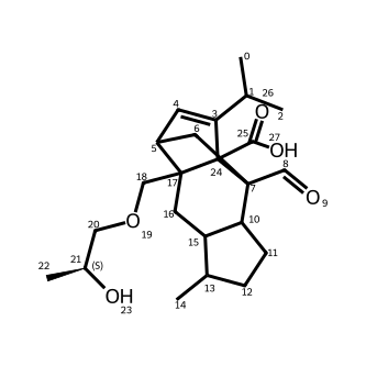 CC(C)C1=CC2CC3(C=O)C4CCC(C)C4CC2(COC[C@H](C)O)C13C(=O)O